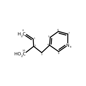 C=CC(Cc1cccnc1)C(=O)O